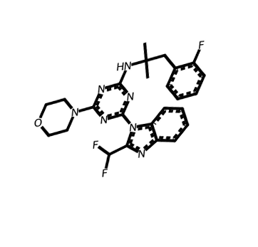 CC(C)(Cc1ccccc1F)Nc1nc(N2CCOCC2)nc(-n2c(C(F)F)nc3ccccc32)n1